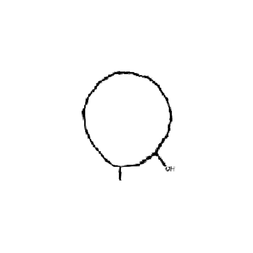 CC1CCCCCCCCCCCCCC(O)C1